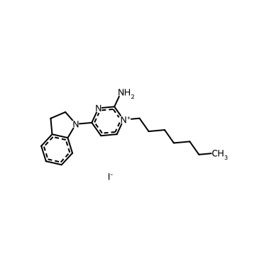 CCCCCCC[n+]1ccc(N2CCc3ccccc32)nc1N.[I-]